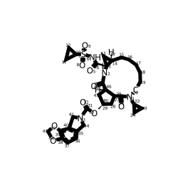 O=C1N[C@]2(C(=O)NS(=O)(=O)C3CC3)C[C@H]2CCCCCCN(C2CC2)C(=O)C2C[C@H](OC(=O)N3Cc4ccc5c(c4C3)OCO5)C[C@@H]12